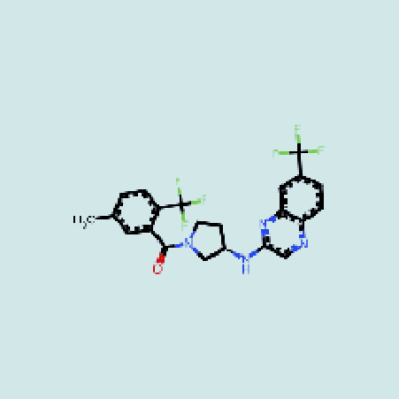 Cc1ccc(C(F)(F)F)c(C(=O)N2CC[C@@H](Nc3cnc4ccc(C(F)(F)F)cc4n3)C2)c1